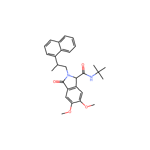 COc1cc2c(cc1OC)C(C(=O)NC(C)(C)C)N(CC(C)c1cccc3ccccc13)C2=O